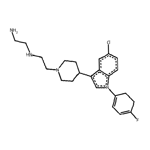 NCCNCCN1CCC(c2cn(C3=CC=C(F)CC3)c3ccc(Cl)cc23)CC1